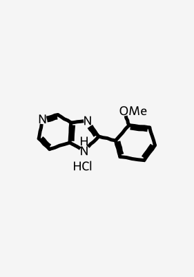 COc1ccccc1-c1nc2cnccc2[nH]1.Cl